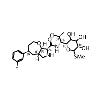 CSC1O[C@H]([C@H](NC(=O)[C@H]2NC[C@@H]3C[C@@H](c4cccc(F)c4)CCO[C@H]32)[C@H](C)Cl)C(O)C(O)[C@H]1O